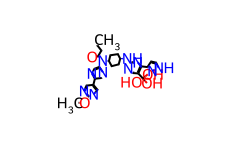 CCCC(=O)N(c1cnc(-c2cnc(OC)nc2)cn1)[C@H]1CC[C@H](Nc2ncc(C(O)(O)O)c(-c3cc[nH]n3)n2)CC1